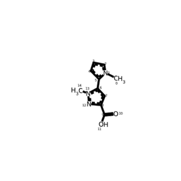 Cn1cccc1-c1cc(C(=O)O)nn1C